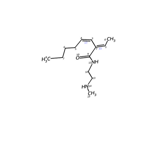 C/C=C(\C=C/CCCC)C(=O)NCCNC